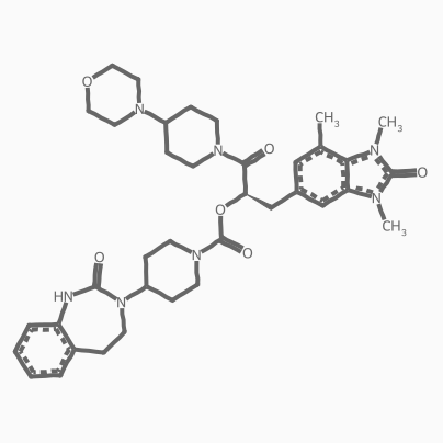 Cc1cc(C[C@@H](OC(=O)N2CCC(N3CCc4ccccc4NC3=O)CC2)C(=O)N2CCC(N3CCOCC3)CC2)cc2c1n(C)c(=O)n2C